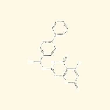 CCc1cc(=O)oc2nc(OC(C)c3ccc(-c4ccccc4)cc3)[nH]c(=O)c12